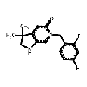 CC1(C)CNc2cn(Cc3ccc(F)cc3F)c(=O)cc21